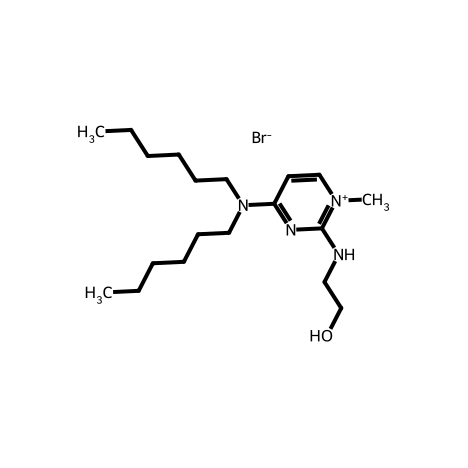 CCCCCCN(CCCCCC)c1cc[n+](C)c(NCCO)n1.[Br-]